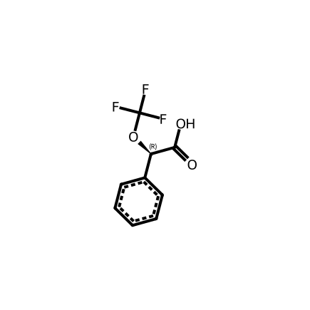 O=C(O)[C@H](OC(F)(F)F)c1ccccc1